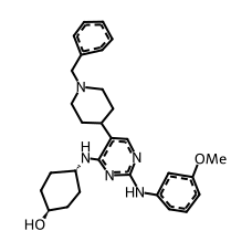 COc1cccc(Nc2ncc(C3CCN(Cc4ccccc4)CC3)c(N[C@H]3CC[C@H](O)CC3)n2)c1